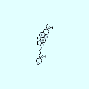 CC[C@]1(O)CC[C@H]2C(=CC[C@@H]3[C@@H]2CC[C@]2(C)[C@@H](CCCCC4(O)CCOCC4)CC[C@@H]32)C1